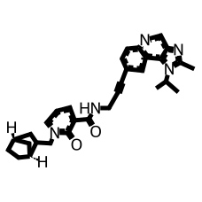 Cc1nc2cnc3ccc(C#CCNC(=O)c4cccn(CC5C[C@H]6CC[C@H]5C6)c4=O)cc3c2n1C(C)C